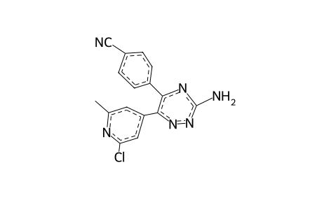 Cc1cc(-c2nnc(N)nc2-c2ccc(C#N)cc2)cc(Cl)n1